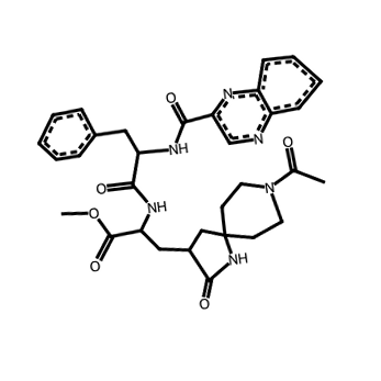 COC(=O)C(CC1CC2(CCN(C(C)=O)CC2)NC1=O)NC(=O)C(Cc1ccccc1)NC(=O)c1cnc2ccccc2n1